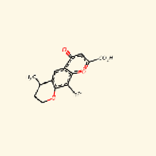 CCCc1c2c(cc3c(=O)cc(C(=O)O)oc13)C(C)CCO2